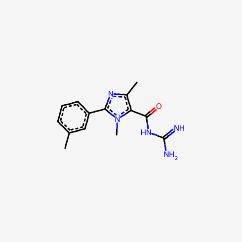 Cc1cccc(-c2nc(C)c(C(=O)NC(=N)N)n2C)c1